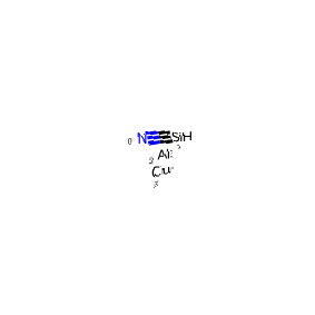 N#[SiH].[Al].[Cu]